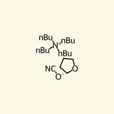 C1CCOC1.CCCC[N+](CCCC)(CCCC)CCCC.N#C[O-]